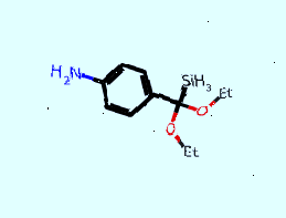 CCOC([SiH3])(OCC)c1ccc(N)cc1